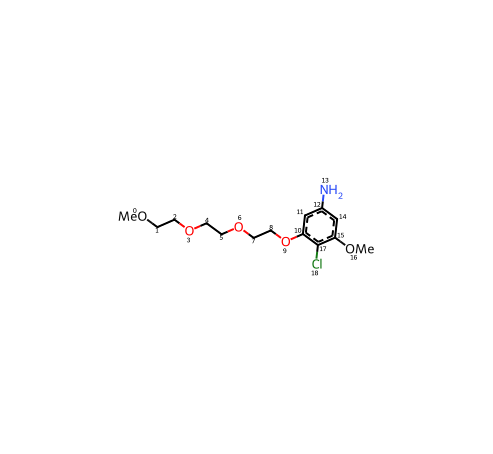 COCCOCCOCCOc1cc(N)cc(OC)c1Cl